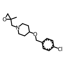 CC1(CN2CCC(OCc3ccc(Cl)cc3)CC2)CO1